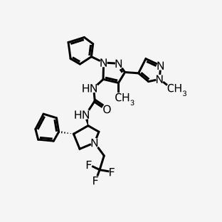 Cc1c(-c2cnn(C)c2)nn(-c2ccccc2)c1NC(=O)N[C@H]1CN(CC(F)(F)F)C[C@@H]1c1ccccc1